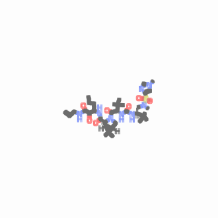 C=CCNC(=O)C(=O)C(CCC)NC(=O)[C@@H]1[C@@H]2[C@H](CN1C(=O)[C@@H](NC(=O)N[C@H](CN(C)S(=O)(=O)c1cn(C)cn1)C(C)(C)C)C(C)(C)C)C2(C)C